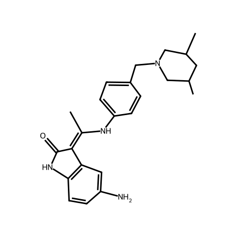 CC(Nc1ccc(CN2CC(C)CC(C)C2)cc1)=C1C(=O)Nc2ccc(N)cc21